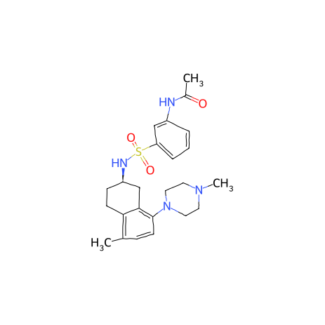 CC(=O)Nc1cccc(S(=O)(=O)N[C@@H]2CCc3c(C)ccc(N4CCN(C)CC4)c3C2)c1